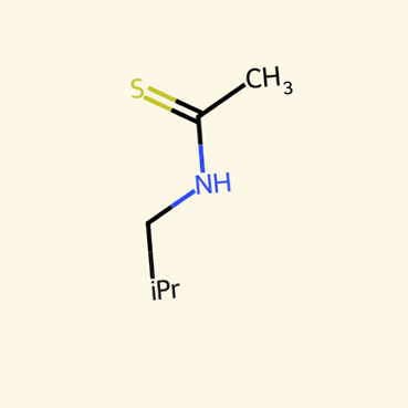 CC(=S)NCC(C)C